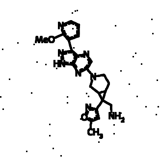 COc1ncccc1-c1n[nH]c2nc(N3CCC4C(C3)C4(CN)c3cc(C)on3)cnc12